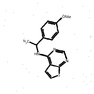 COc1ccc(C(C)Nc2ncnc3sccc23)cc1